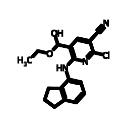 CCOC(O)c1cc(C#N)c(Cl)nc1Nc1cccc2c1CCC2